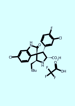 CC(C)(C)C[C@@H]1N[C@@H](C(=O)O)[C@@H](c2ccc(F)c(Cl)c2)[C@]12C(=O)Nc1cc(Cl)ccc12.O=C(O)C(F)(F)F